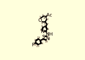 CC(=O)N1CCOCC(Cc2ccnc(Nc3ncc(-c4ccc(F)cc4)s3)c2)C1